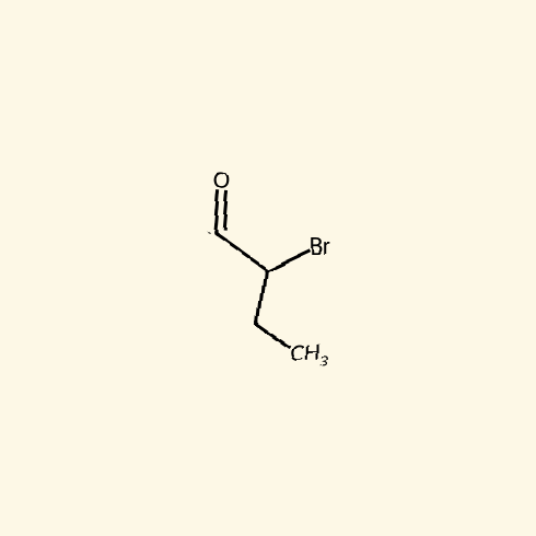 CCC(Br)[C]=O